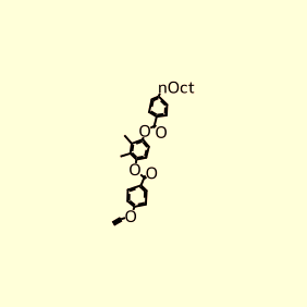 C#COc1ccc(C(=O)Oc2ccc(OC(=O)c3ccc(CCCCCCCC)cc3)c(C)c2C)cc1